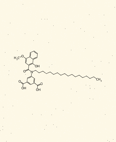 CCCCCCCCCCCCCCCCCCN(C(=O)c1cc(OC)c2ccccc2c1O)c1cc(C(=O)O)cc(C(=O)O)c1